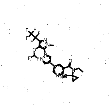 CCN(C(=O)c1cc(-c2cnn(-c3c(OC(F)F)c(C(F)(F)C(F)(F)F)nn3C)c2)cnc1Cl)C1(C#N)CC1